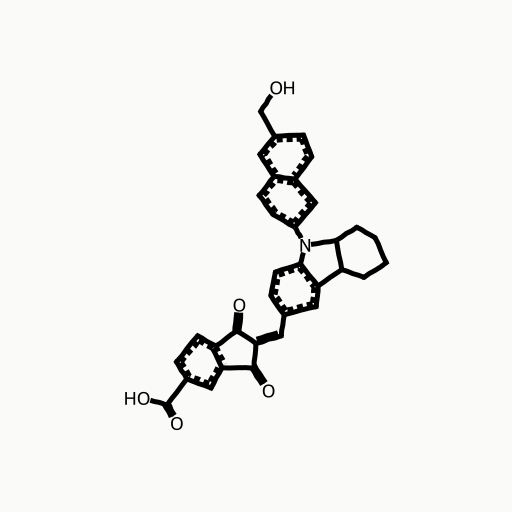 O=C(O)c1ccc2c(c1)C(=O)C(=Cc1ccc3c(c1)C1CCCCC1N3c1ccc3cc(CO)ccc3c1)C2=O